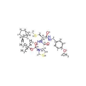 COc1ccc(CNC(=O)[C@H](CSC[C@@H]2C[C@@H]3CCC2C3)NC(=O)[C@@H]2CSCN2C(=O)OC(C)(C)C)cc1